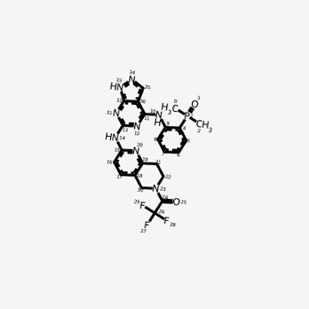 CP(C)(=O)c1ccccc1Nc1nc(Nc2ccc3c(n2)CCN(C(=O)C(F)(F)F)C3)nc2[nH]ncc12